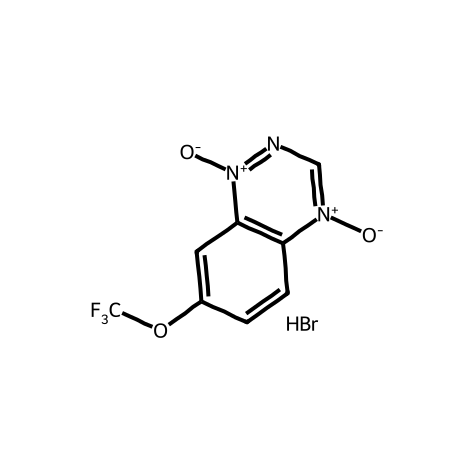 Br.[O-][n+]1cn[n+]([O-])c2cc(OC(F)(F)F)ccc21